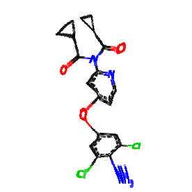 Nc1c(Cl)cc(Oc2ccnc(N(C(=O)C3CC3)C(=O)C3CC3)c2)cc1Cl